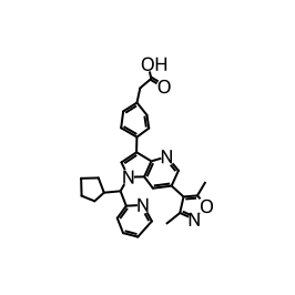 Cc1noc(C)c1-c1cnc2c(-c3ccc(CC(=O)O)cc3)cn(C(c3ccccn3)C3CCCC3)c2c1